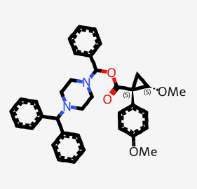 COc1ccc([C@@]2(C(=O)OC(c3ccccc3)N3CCN(C(c4ccccc4)c4ccccc4)CC3)C[C@@H]2OC)cc1